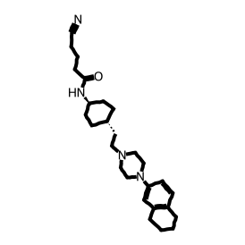 N#CCCCC(=O)N[C@H]1CC[C@H](CCN2CCN(c3ccc4c(c3)CCCC4)CC2)CC1